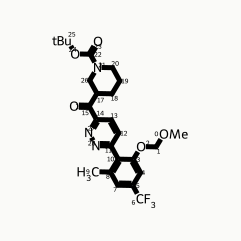 COCOc1cc(C(F)(F)F)cc(C)c1-c1ccc(C(=O)C2CCCN(C(=O)OC(C)(C)C)C2)nn1